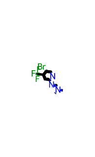 CN(C)/C=N/c1cc(C(F)(F)F)c(Br)cn1